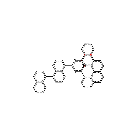 c1ccc(-c2nc(-c3cccc4c(-c5cccc6ccccc56)cccc34)nc(-c3cccc4ccc5ccc6ccccc6c5c34)n2)cc1